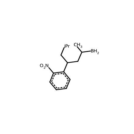 BC(C)CC(CC(C)C)c1ccccc1[N+](=O)[O-]